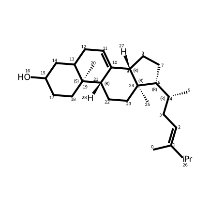 CC(=CC[C@@H](C)[C@H]1CC[C@H]2C3=CCC4CC(O)CC[C@]4(C)[C@H]3CC[C@]12C)C(C)C